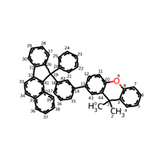 CC1(C)c2ccccc2Oc2ccc(-c3cccc(C4(c5ccccc5)c5ccccc5-c5ccc6ccccc6c54)c3)cc21